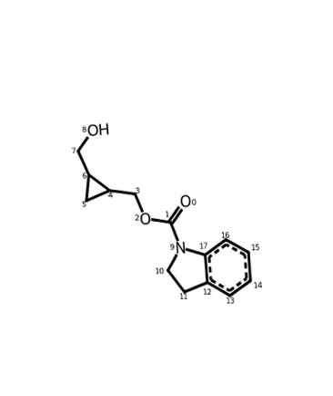 O=C(OCC1CC1CO)N1CCc2ccccc21